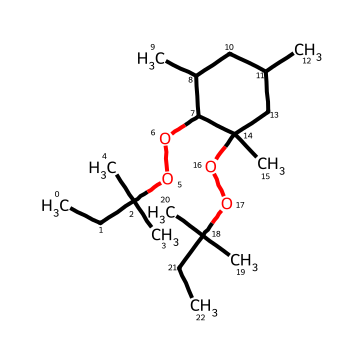 CCC(C)(C)OOC1C(C)CC(C)CC1(C)OOC(C)(C)CC